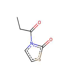 CCC(=O)n1ccsc1=O